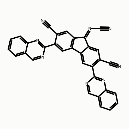 N#CN=C1c2cc(C#N)c(-c3ncc4ccccc4n3)cc2-c2cc(-c3ncc4ccccc4n3)c(C#N)cc21